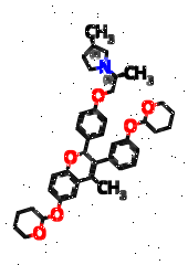 CC1=C(c2cccc(OC3CCCCO3)c2)C(c2ccc(OC[C@H](C)N3CC[C@@H](C)C3)cc2)Oc2ccc(OC3CCCCO3)cc21